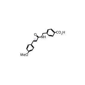 COc1ccc(/C=C/C(=O)NCc2ccc(C(=O)O)cc2)cc1